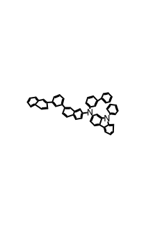 c1ccc(-c2cccc(N(c3ccc4ccc(-c5cccc(-c6ccc7ccccc7c6)c5)cc4c3)c3ccc4c5ccccc5n(-c5ccccc5)c4c3)c2)cc1